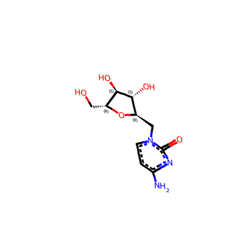 Nc1ccn(C[C@H]2O[C@H](CO)[C@@H](O)[C@@H]2O)c(=O)n1